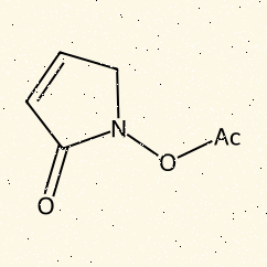 CC(=O)ON1CC=CC1=O